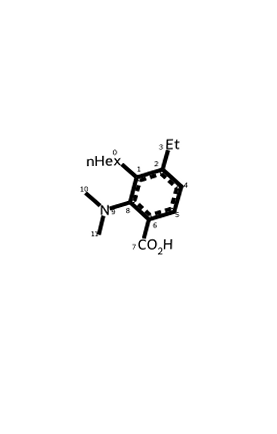 CCCCCCc1c(CC)ccc(C(=O)O)c1N(C)C